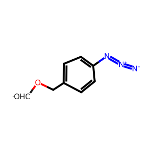 [N-]=[N+]=Nc1ccc(CO[C]=O)cc1